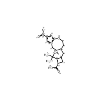 CC(C)(C)C1C(CN2CCOc3nc([N+](=O)[O-])cn3CC2)CN1C(=O)O